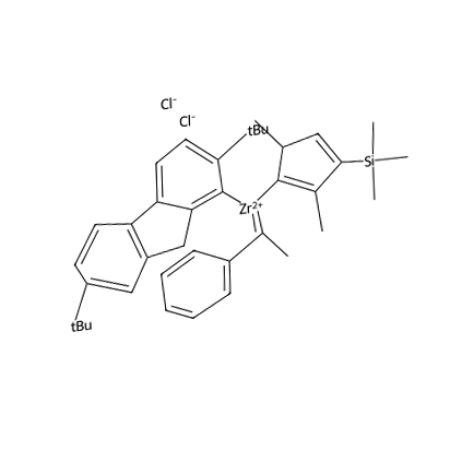 CC1=[C](/[Zr+2](=[C](\C)c2ccccc2)[c]2c(C(C)(C)C)ccc3c2Cc2cc(C(C)(C)C)ccc2-3)C(C)C=C1[Si](C)(C)C.[Cl-].[Cl-]